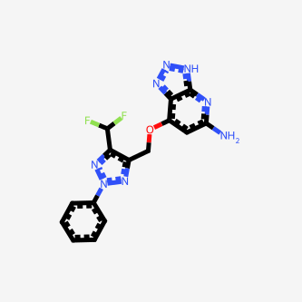 Nc1cc(OCc2nn(-c3ccccc3)nc2C(F)F)c2nn[nH]c2n1